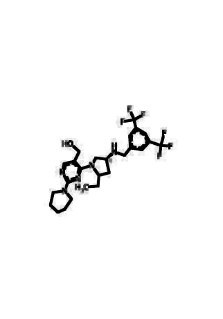 CCC1C[C@H](NCc2cc(C(F)(F)F)cc(C(F)(F)F)c2)CN1c1nc(N2CCCCC2)ncc1CO